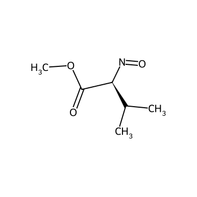 COC(=O)[C@@H](N=O)C(C)C